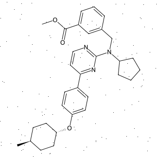 COC(=O)c1cccc(CN(c2nccc(-c3ccc(O[C@H]4CC[C@H](C)CC4)cc3)n2)C2CCCC2)c1